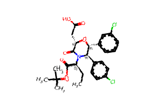 CC[C@@H](C(=O)OC(C)(C)C)N1C(=O)[C@H](CC(=O)O)O[C@H](c2cccc(Cl)c2)[C@H]1c1ccc(Cl)cc1